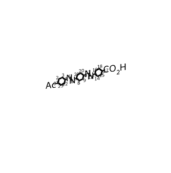 CC(=O)c1ccc(N=Nc2ccc(N=Nc3ccc(C(=O)O)cc3)cc2)cc1